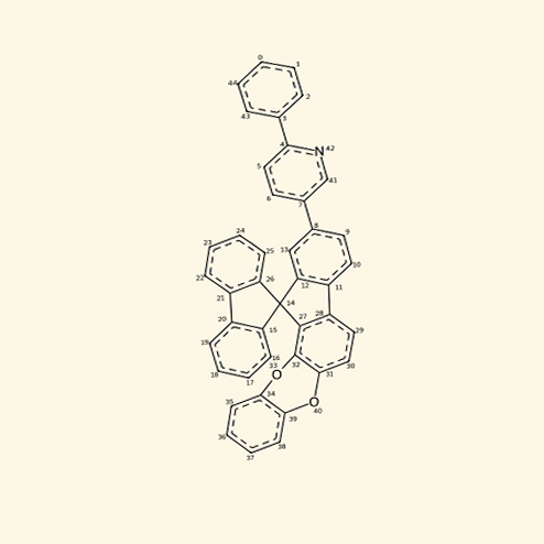 c1ccc(-c2ccc(-c3ccc4c(c3)C3(c5ccccc5-c5ccccc53)c3c-4ccc4c3Oc3ccccc3O4)cn2)cc1